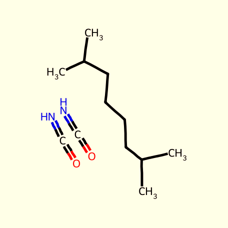 CC(C)CCCCC(C)C.N=C=O.N=C=O